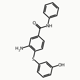 Nc1cc(C(=O)Nc2ccccc2)ccc1Sc1cccc(O)c1